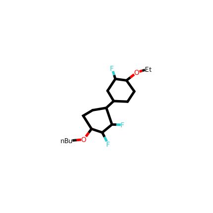 CCCCOC1CCC(C2CCC(OCC)C(F)C2)C(F)C1F